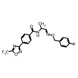 CC(C=NOCc1ccc(F)cc1)NC(=O)c1ccc(-c2noc(C(F)(F)F)n2)cc1